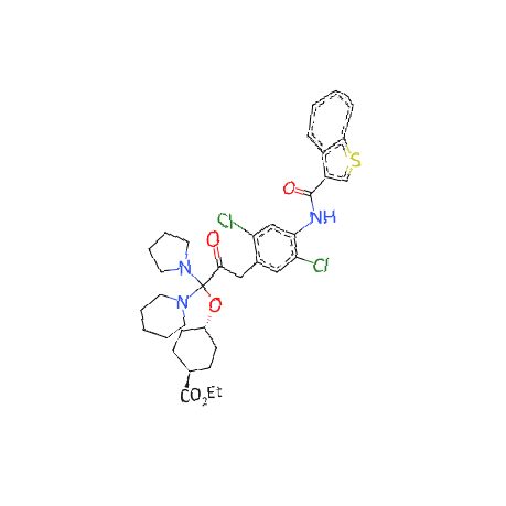 CCOC(=O)[C@H]1CC[C@H](OC(C(=O)Cc2cc(Cl)c(NC(=O)c3csc4ccccc34)cc2Cl)(N2CCCCC2)N2CCCC2)CC1